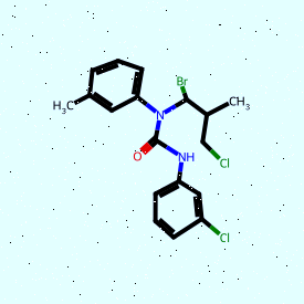 Cc1cccc(N(C(=O)Nc2cccc(Cl)c2)C(Br)C(C)CCl)c1